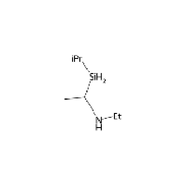 CCNC(C)[SiH2]C(C)C